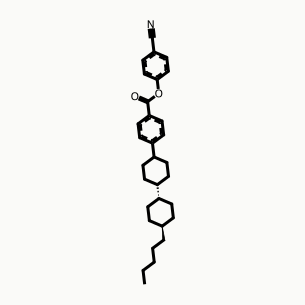 CCCCC[C@H]1CC[C@H](C2CCC(c3ccc(C(=O)Oc4ccc(C#N)cc4)cc3)CC2)CC1